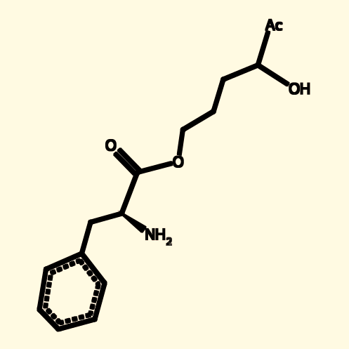 CC(=O)C(O)CCCOC(=O)[C@@H](N)Cc1ccccc1